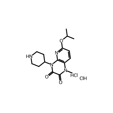 CC(C)Oc1ccc2c(n1)n(C1CCNCC1)c(=O)c(=O)n2C.Cl.Cl